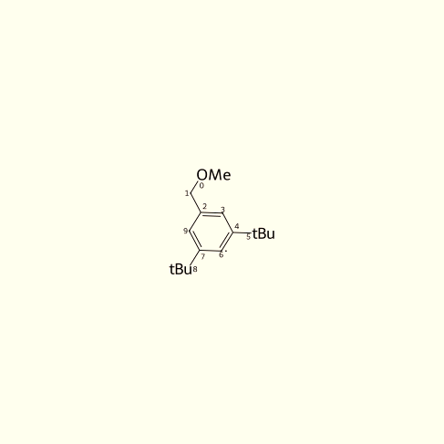 COCc1cc(C(C)(C)C)[c]c(C(C)(C)C)c1